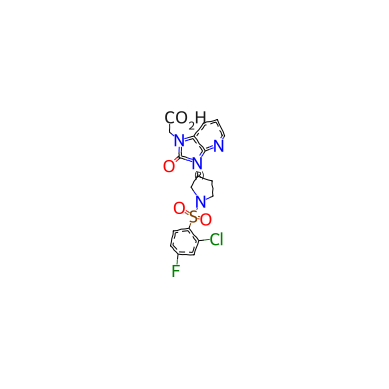 O=C(O)Cn1c(=O)n([C@@H]2CCN(S(=O)(=O)c3ccc(F)cc3Cl)C2)c2ncccc21